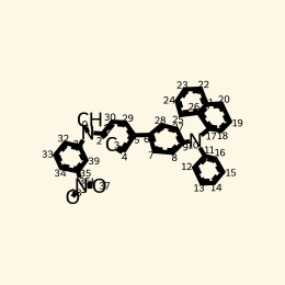 CN(c1ccc(-c2ccc(N(c3ccccc3)c3cccc4ccccc34)cc2)cc1)c1cccc([N+](=O)[O-])c1